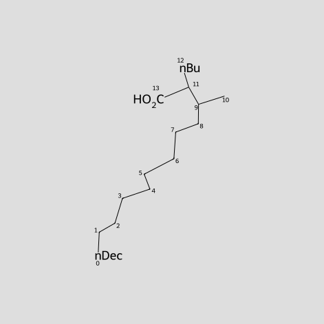 CCCCCCCCCCCCCCCCCCC(C)C(CCCC)C(=O)O